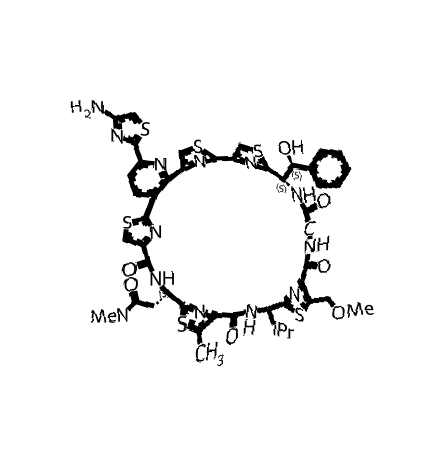 CNC(=O)C[C@@H]1NC(=O)c2csc(n2)-c2ccc(-c3nc(N)cs3)nc2-c2csc(n2)-c2csc(n2)[C@H]([C@@H](O)c2ccccc2)NC(=O)CNC(=O)c2nc(sc2COC)C(C(C)C)NC(=O)c2nc1sc2C